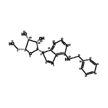 OC[C@H]1O[C@@H](n2cnc3c(NCc4ccccc4)ncnc32)[C@@H](O)[C@H]1O